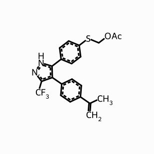 C=C(C)c1ccc(-c2c(C(F)(F)F)n[nH]c2-c2ccc(SCOC(C)=O)cc2)cc1